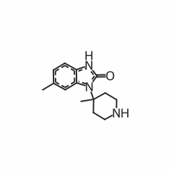 Cc1ccc2[nH]c(=O)n(C3(C)CCNCC3)c2c1